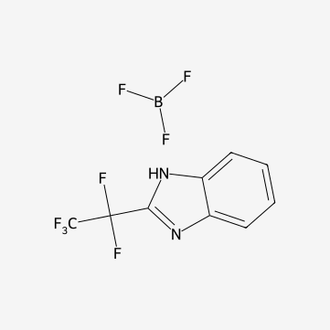 FB(F)F.FC(F)(F)C(F)(F)c1nc2ccccc2[nH]1